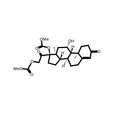 COC(=O)OCC(=O)[C@@]1(OC(=O)OC)CC[C@H]2[C@@H]3CCC4=CC(=O)CC[C@]4(C)[C@H]3[C@@H](O)C[C@@]21C